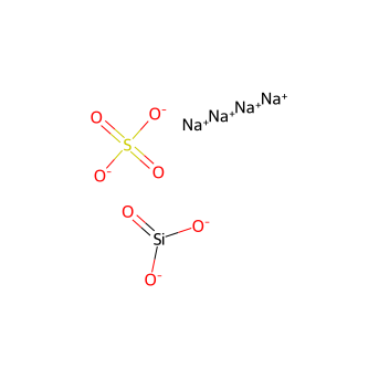 O=S(=O)([O-])[O-].O=[Si]([O-])[O-].[Na+].[Na+].[Na+].[Na+]